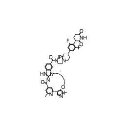 Cc1cc2cc(n1)-c1cnn(C)c1OCCC[C@@H](C)CN1/C(=N/C2=O)Nc2ccc(C(=O)N(CCN3CCC(c4cc(F)c([C@H]5CCC(=O)NC5=O)c(F)c4)CC3)C(C)C)cc21